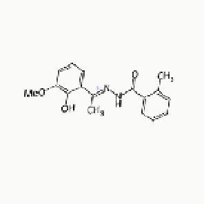 COc1cccc(/C(C)=N/NC(=O)c2ccccc2C)c1O